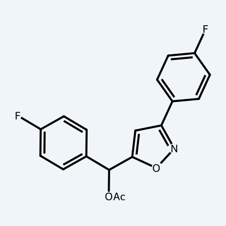 CC(=O)OC(c1ccc(F)cc1)c1cc(-c2ccc(F)cc2)no1